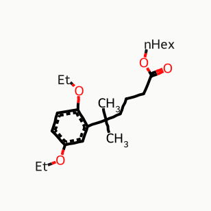 CCCCCCOC(=O)CCCC(C)(C)c1cc(OCC)ccc1OCC